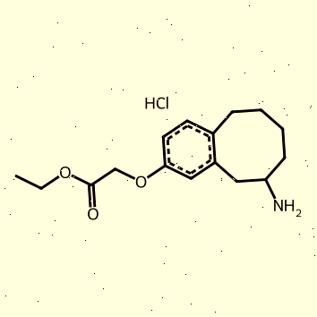 CCOC(=O)COc1ccc2c(c1)CC(N)CCCC2.Cl